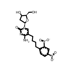 Nc1nc(=O)n([C@H]2CC(O)[C@@H](CO)O2)cc1CCCCc1ccc([N+](=O)[O-])cc1[N+](=O)[O-]